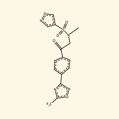 CN(CC(=O)c1ccc(-c2noc(C(F)(F)F)n2)cc1)S(=O)(=O)c1cnoc1